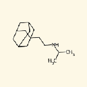 CC(C)NCCC12CC3CC(CC(C3)C1)C2